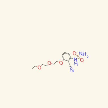 CCOCCOCCOc1cccc(NS(N)(=O)=O)c1C#N